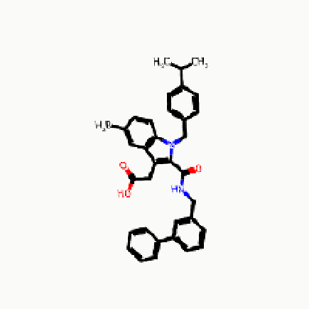 Bc1ccc2c(c1)c(CC(=O)O)c(C(=O)NCc1cccc(-c3ccccc3)c1)n2Cc1ccc(C(C)C)cc1